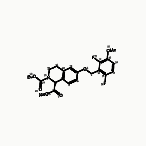 COC(=O)C1c2ccc(OCc3c(F)ccc(OC)c3F)cc2CCN1C(=O)OCC(C)C